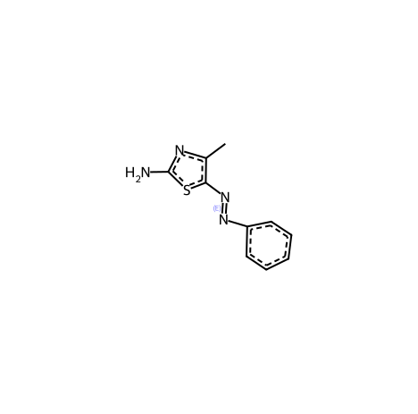 Cc1nc(N)sc1/N=N/c1ccccc1